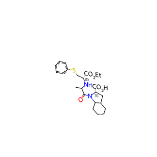 CCOC(=O)[C@@H](CSc1ccccc1)NC(C)C(=O)N1C2CCCCC2C[C@H]1C(=O)O